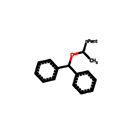 CCCCCC(C)OC(c1ccccc1)c1ccccc1